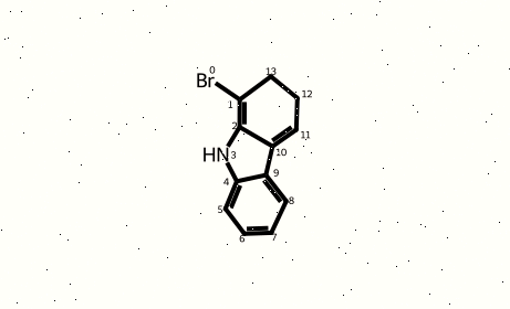 BrC1=c2[nH]c3ccccc3c2=CCC1